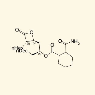 CCCCCCCCCCC[C@@H](C[C@@H]1OC(=O)[C@H]1CCCCCC)OC(=O)C1CCCCC1C(N)=O